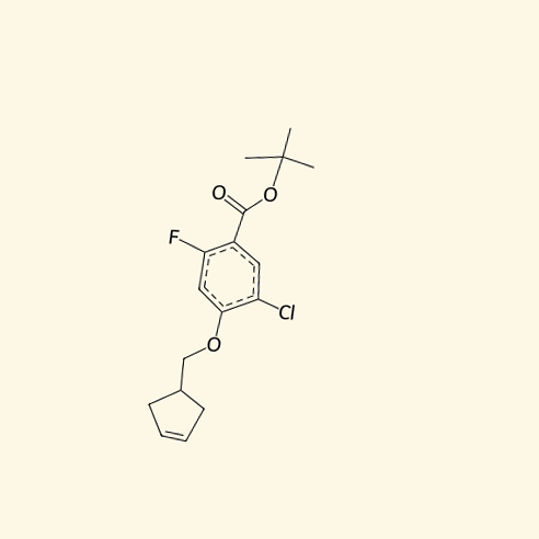 CC(C)(C)OC(=O)c1cc(Cl)c(OCC2CC=CC2)cc1F